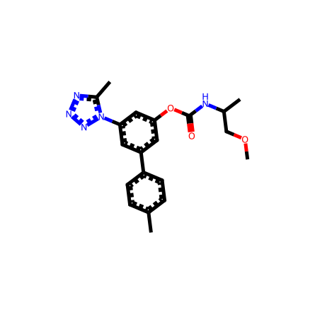 COCC(C)NC(=O)Oc1cc(-c2ccc(C)cc2)cc(-n2nnnc2C)c1